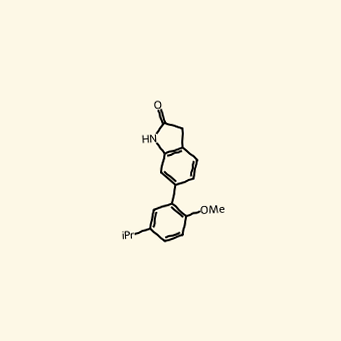 COc1ccc(C(C)C)cc1-c1ccc2c(c1)NC(=O)C2